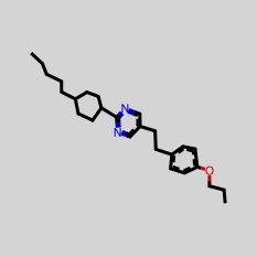 CCCCCC1CCC(c2ncc(CCc3ccc(OCCC)cc3)cn2)CC1